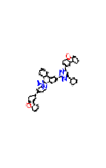 c1ccc(-c2cc(-c3ccc4oc5ccccc5c4c3)nc(-c3ccc4c(c3)c3ccccc3c3nc5cc(-c6ccc7oc8ccccc8c7c6)ccn5c43)n2)cc1